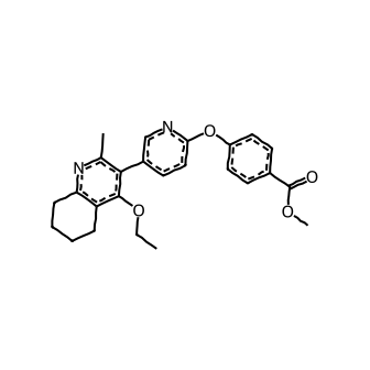 CCOc1c2c(nc(C)c1-c1ccc(Oc3ccc(C(=O)OC)cc3)nc1)CCCC2